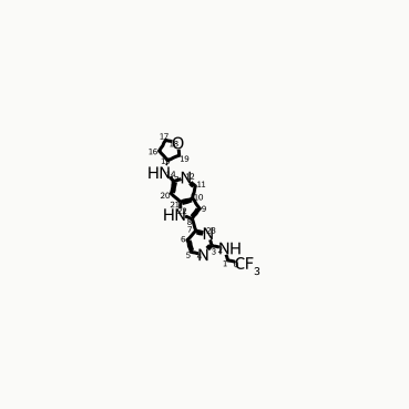 FC(F)(F)CNc1nccc(-c2cc3cnc(N[C@@H]4CCOC4)cc3[nH]2)n1